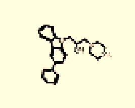 O[C@H](CN1CCNCC1)Cn1c2ccccc2c2cc(-c3ccccc3)ccc21